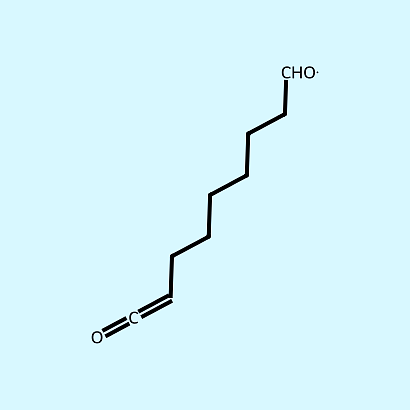 O=[C]CCCCCCC=C=O